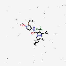 CSc1cc(NC(=O)c2c(C(F)(F)F)c(C3CC3)nn2CC2(C)CC3(CC3)C2)cc[n+]1O